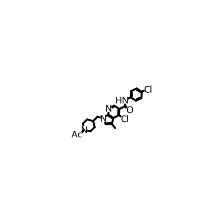 CC(=O)N1CCC(Cn2cc(C)c3c(Cl)c(C(=O)Nc4ccc(Cl)cc4)cnc32)CC1